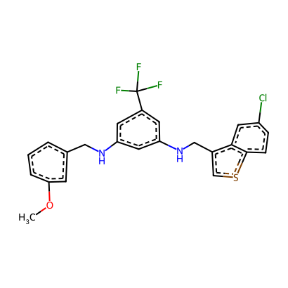 COc1cccc(CNc2cc(NCc3csc4ccc(Cl)cc34)cc(C(F)(F)F)c2)c1